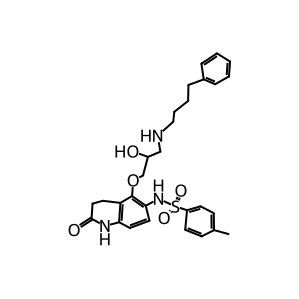 Cc1ccc(S(=O)(=O)Nc2ccc3c(c2OCC(O)CNCCCCc2ccccc2)CCC(=O)N3)cc1